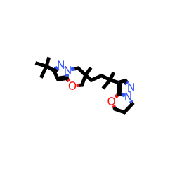 CC1(CCC(C)(C)c2cnn3c2OCCC3)COc2cc(C(C)(C)C)nn2C1